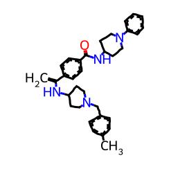 C=C(NC1CCN(Cc2ccc(C)cc2)CC1)c1ccc(C(=O)NC2CCN(c3ccccc3)CC2)cc1